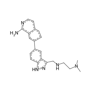 CN(C)CCNCc1n[nH]c2ccc(-c3ccc4ccnc(N)c4c3)cc12